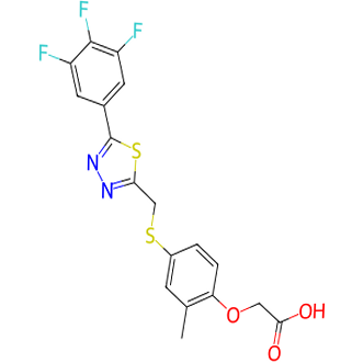 Cc1cc(SCc2nnc(-c3cc(F)c(F)c(F)c3)s2)ccc1OCC(=O)O